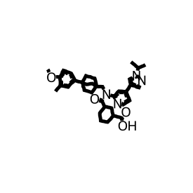 COc1ccc(C23CCC(CN(C(=O)C4CCCC(C(=O)O)C4)c4cc(-c5cnn(C(C)C)c5)ccn4)(CC2)CC3)cc1C